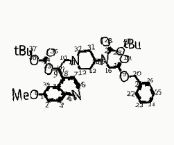 COc1ccc2nccc([C@H](CN3CCC(N(CC(=O)OCc4ccccc4)C(=O)OC(C)(C)C)CC3)OC(=O)OC(C)(C)C)c2c1